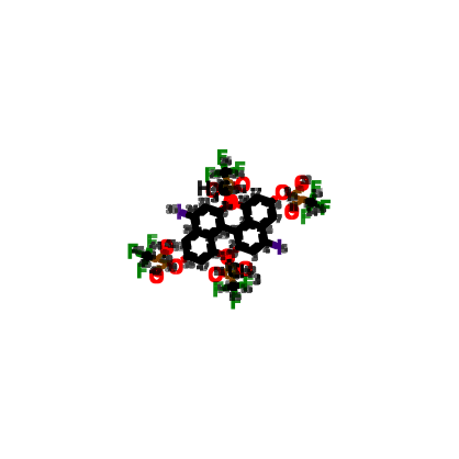 COc1cc(I)c2cc(OS(=O)(=O)C(F)(F)F)cc(OS(=O)(=O)C(F)(F)F)c2c1-c1c(OC)cc(I)c2cc(OS(=O)(=O)C(F)(F)F)cc(OS(=O)(=O)C(F)(F)F)c12